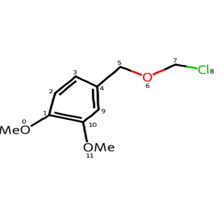 COc1ccc(COCCl)cc1OC